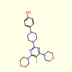 Oc1ccc(N2CCN(c3nc(N4CCOCC4)c(F)c(N4CCOCC4)n3)CC2)cc1